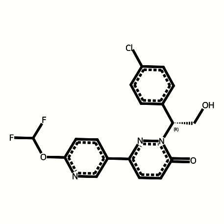 O=c1ccc(-c2ccc(OC(F)F)nc2)nn1[C@@H](CO)c1ccc(Cl)cc1